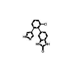 O=c1[nH]c2ccc(-c3c(Cl)cccc3-c3cn[nH]c3)cc2[nH]1